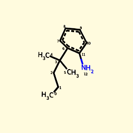 CCCC(C)(C)c1ccccc1N